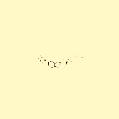 Cc1nnc(-c2ccc3cnc(NC(=O)N4CCC(N5CCOCC5)CC4)nc3c2)s1